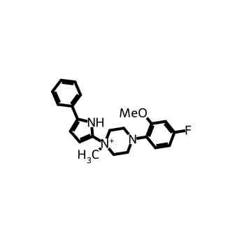 COc1cc(F)ccc1N1CC[N+](C)(c2ccc(-c3ccccc3)[nH]2)CC1